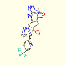 C[C@@H]1OCc2c1c(N)nc1ccc(C(=O)N(Cc3ccc(C(F)(F)F)cn3)[C@H]3C[C@H]3N)cc21